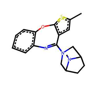 Cc1cc2c(s1)Oc1ccccc1N=C2N1CC2CCC(C1)N2C